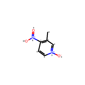 Cc1c[n+]([O-])ccc1[N+](=O)[O-]